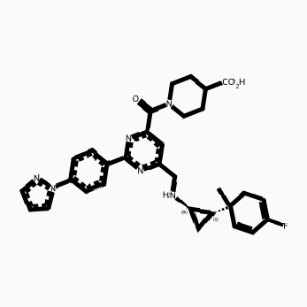 CC1([C@@H]2C[C@H]2NCc2cc(C(=O)N3CCC(C(=O)O)CC3)nc(-c3ccc(-n4cccn4)cc3)n2)C=CC(F)=CC1